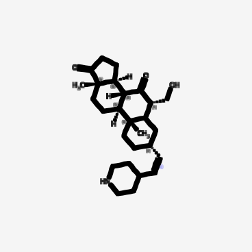 C[C@]12CC[C@@H](/C=C\C3CCNCC3)CC1[C@@H](CO)C(=O)[C@@H]1[C@@H]2CC[C@]2(C)C(=O)CC[C@@H]12